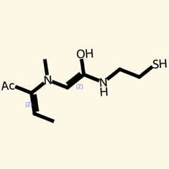 C/C=C(/C(C)=O)N(C)/C=C(\O)NCCS